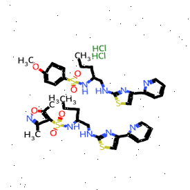 CCCC(CNc1nc(-c2ccccn2)cs1)NS(=O)(=O)c1c(C)noc1C.CCCC(CNc1nc(-c2ccccn2)cs1)NS(=O)(=O)c1ccc(OC)cc1.Cl.Cl